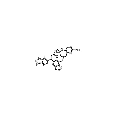 Cc1c(C(CC(=O)O)c2cc(CN3Cc4nc(N)ccc4OC4(CC4)C3)c3sccc3c2)cnc2c1nnn2C